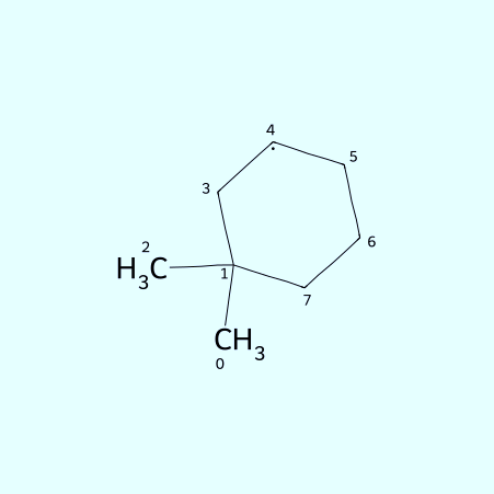 CC1(C)C[CH]CCC1